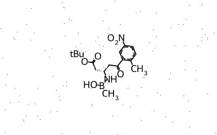 CB(O)N[C@H](CC(=O)OC(C)(C)C)CC(=O)c1cc([N+](=O)[O-])ccc1C